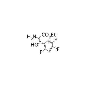 CCOC(=O)/C(N)=C(/O)c1cc(F)c(F)cc1F